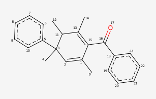 CC1=CC(C)(c2ccccc2)C(C)C(C)=C1C(=O)c1ccccc1